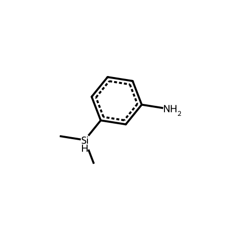 C[SiH](C)c1cccc(N)c1